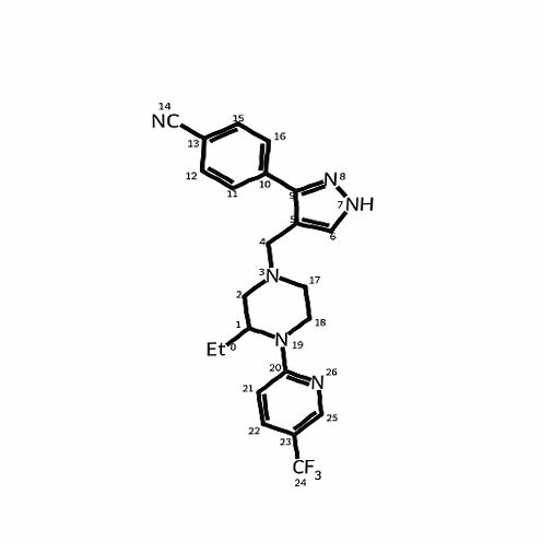 CCC1CN(Cc2c[nH]nc2-c2ccc(C#N)cc2)CCN1c1ccc(C(F)(F)F)cn1